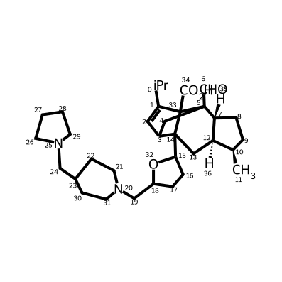 CC(C)C1=CC2CC3(C=O)[C@@H]4CC[C@@H](C)[C@H]4CC2(C2CCC(CN4CCC(CN5CCCC5)CC4)O2)C13C(=O)O